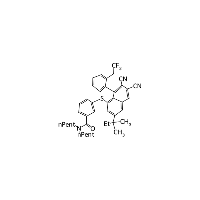 CCCCCN(CCCCC)C(=O)c1cccc(Sc2cc(C(C)(C)CC)cc3cc(C#N)c(C#N)c(-c4ccccc4CC(F)(F)F)c23)c1